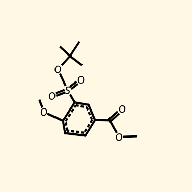 COC(=O)c1ccc(OC)c(S(=O)(=O)OC(C)(C)C)c1